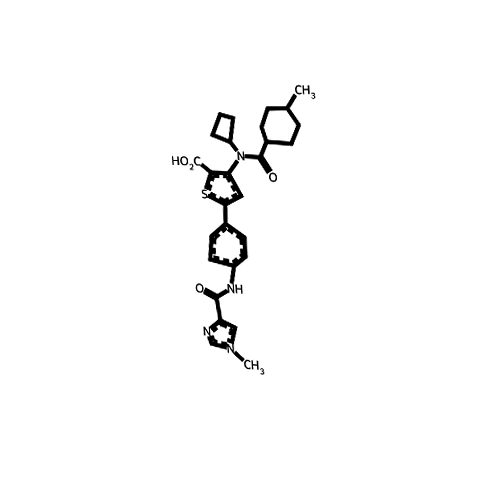 CC1CCC(C(=O)N(c2cc(-c3ccc(NC(=O)c4cn(C)cn4)cc3)sc2C(=O)O)C2CCC2)CC1